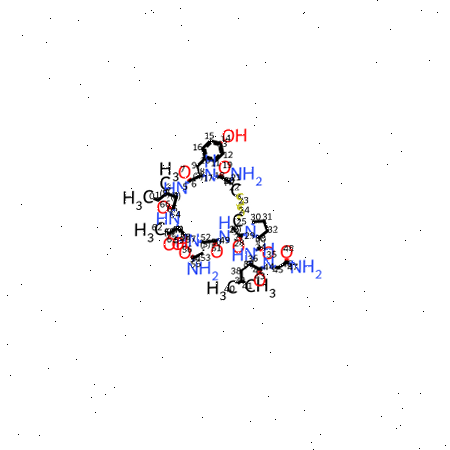 CC[C@H](C)[C@H]1NC(=O)[C@@H](Cc2ccc(O)cc2)NC(=O)[C@@H](N)CSSC[C@@H](C(=O)N2CCC[C@@H]2C(=O)N[C@H](CC(C)C)C(=O)NCC(N)=O)NC(=O)[C@H](CC(N)=O)NC(=O)[C@@H]([C@@H](C)O)NC1=O